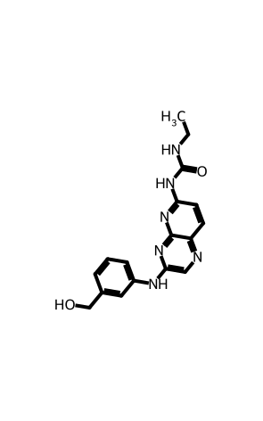 CCNC(=O)Nc1ccc2ncc(Nc3cccc(CO)c3)nc2n1